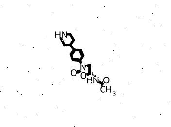 CC(=O)NC[C@H]1CN(c2ccc(C3CCNCC3)cc2)C(=O)O1